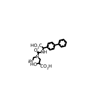 CC(C)CN(CC(O)C(=O)O)C(=O)NC(C(=O)O)c1ccc(-c2ccccc2)cc1